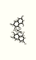 Cc1cc(C)c2c(OS(=O)(=S)c3c(C)c(C)cc4cc(C)cc(C)c34)c(C)c(C)cc2c1